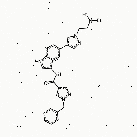 CCN(CC)CCn1cc(-c2cnc3[nH]cc(NC(=O)c4cnn(Cc5ccccc5)c4)c3c2)cn1